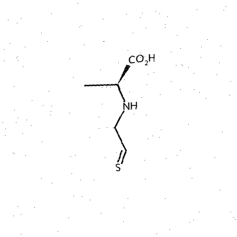 C[C@H](NCC=S)C(=O)O